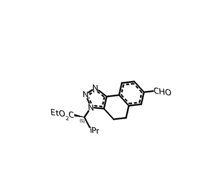 CCOC(=O)[C@H](C(C)C)n1nnc2c1CCc1cc(C=O)ccc1-2